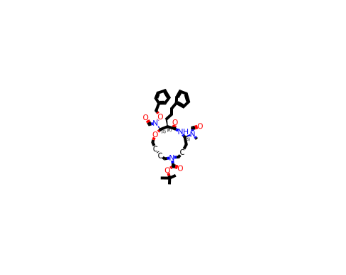 CN(C=O)[C@H]1CCCN(C(=O)OC(C)(C)C)CCCCO[C@H](N(C=O)OCc2ccccc2)[C@@H](CCCc2ccccc2)C(=O)N1